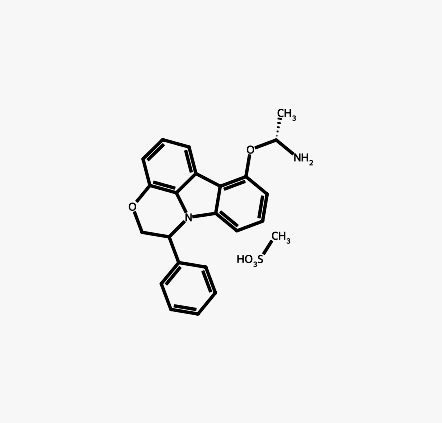 CS(=O)(=O)O.C[C@H](N)Oc1cccc2c1c1cccc3c1n2C(c1ccccc1)CO3